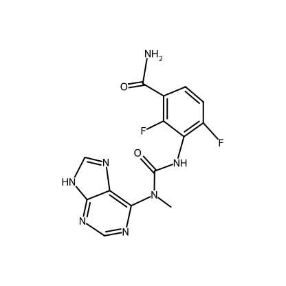 CN(C(=O)Nc1c(F)ccc(C(N)=O)c1F)c1ncnc2[nH]cnc12